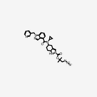 CC(C)(CN=[N+]=[N-])OC(=O)N1C=C2CC(N(C(=O)c3cccc4c3cnn4Cc3cccnc3)C3CC3)CCC2N1